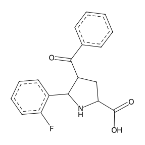 O=C(O)C1CC(C(=O)c2ccccc2)C(c2ccccc2F)N1